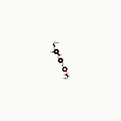 CCCCCCCCCCCCOc1ccc(C(=O)Oc2ccc(OC[C@H]3CC[C@H](OC(=O)[C@@H](F)CCCC)CC3)cc2)cc1Cl